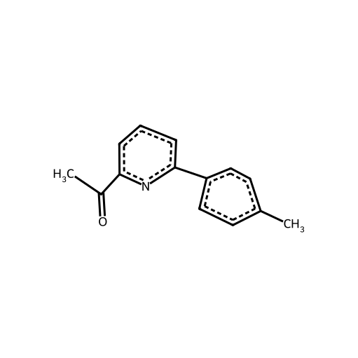 CC(=O)c1cccc(-c2ccc(C)cc2)n1